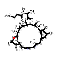 COCCC(=O)N(C)C(C)C(=O)O[C@H]1CC(=O)N(C)c2cc(cc(C)c2Cl)C/C(C)=C/C=C/[C@@H](C)[C@@]2(O)C[C@H](OC(=O)N2)[C@@H](C)[C@@H]2O[C@@]12C